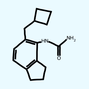 NC(=O)Nc1c(CC2CCC2)ccc2c1CCC2